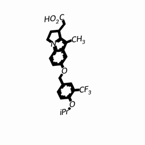 Cc1c2n(c3ccc(OCc4ccc(OC(C)C)c(C(F)(F)F)c4)cc13)CCC2CC(=O)O